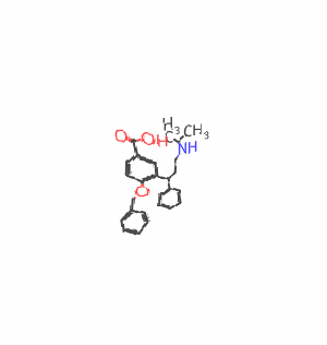 CC(C)NCCC(c1ccccc1)c1cc(C(=O)O)ccc1OCc1ccccc1